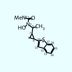 CNC(=O)N(O)C(C)C1CC1c1cc2ccccc2s1